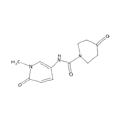 Cn1cc(NC(=O)N2CCC(=O)CC2)ccc1=O